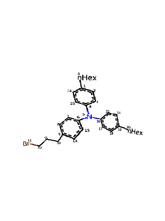 CCCCCCc1ccc(N(c2ccc(CCCBr)cc2)c2ccc(CCCCCC)cc2)cc1